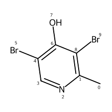 Cc1ncc(Br)c(O)c1Br